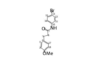 COc1ccc(CCC(=O)Nc2ccc(Br)cc2)cc1